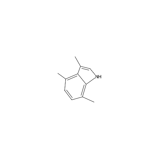 Cc1ccc(C)c2c(C)c[nH]c12